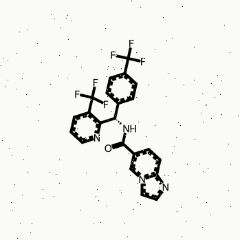 O=C(N[C@@H](c1ccc(C(F)(F)F)cc1)c1ncccc1C(F)(F)F)c1ccc2nccn2c1